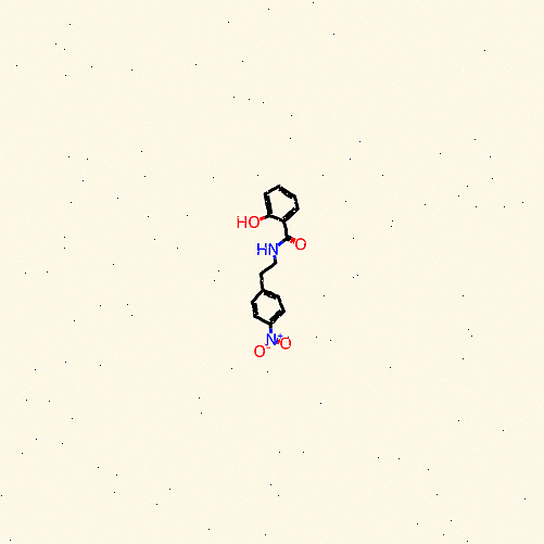 O=C(NCCc1ccc([N+](=O)[O-])cc1)c1ccccc1O